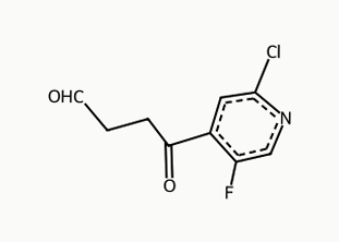 O=CCCC(=O)c1cc(Cl)ncc1F